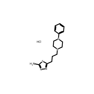 Cl.Nc1nnc(CCCN2CCN(c3ccccc3)CC2)s1